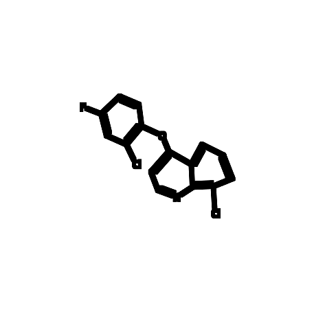 Fc1ccc(Oc2ccnc3c(Cl)cccc23)c(Cl)c1